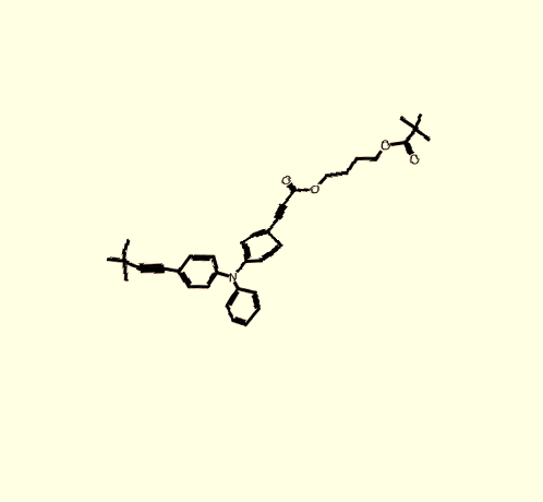 CC(C)(C)C#Cc1ccc(N(c2ccccc2)c2ccc(C#CC(=O)OCCCCOC(=O)C(C)(C)C)cc2)cc1